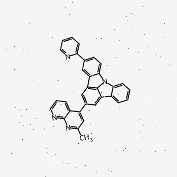 Cc1cc(-c2cc3c4ccccc4n4c5ccc(-c6ccccn6)cc5c(c2)c34)c2cccnc2n1